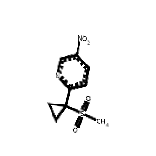 CS(=O)(=O)C1(c2ccc([N+](=O)[O-])cn2)CC1